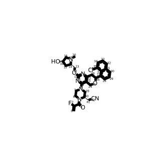 C=C(F)C(=O)N1CCN(c2nc(OC[C@@H]3C[C@H](O)CN3C)nc3c2COC(c2cccc4cccc(Cl)c24)C3)C[C@@H]1CC#N